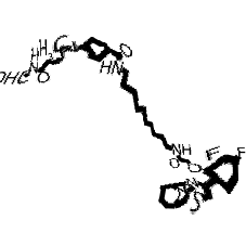 CN(CCC(=O)NC=O)c1ccc(C(=O)NCCCCCCCCCCNC(=O)COc2c(-c3csc(N4C5CCCC4COC5)n3)ccc(F)c2F)cc1